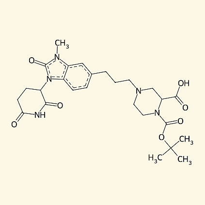 Cn1c(=O)n(C2CCC(=O)NC2=O)c2ccc(CCCN3CCN(C(=O)OC(C)(C)C)C(C(=O)O)C3)cc21